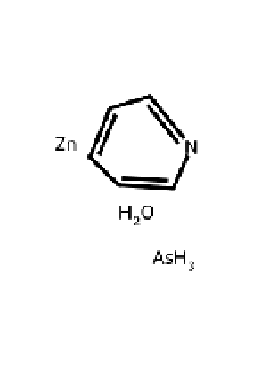 O.[AsH3].[Zn].c1ccncc1